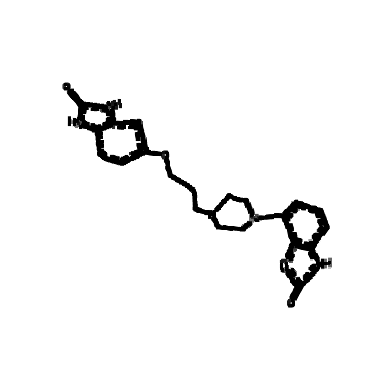 O=c1[nH]c2ccc(OCCCN3CCN(c4cccc5[nH]c(=O)oc45)CC3)cc2[nH]1